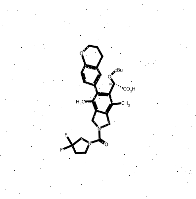 Cc1c2c(c(C)c([C@H](OC(C)(C)C)C(=O)O)c1-c1ccc3c(c1)CCCO3)CN(C(=O)N1CCC(F)(F)C1)C2